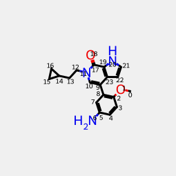 COc1ccc(N)cc1-c1cn(CCC2CC2)c(=O)c2[nH]ccc12